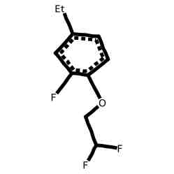 CCc1ccc(OCC(F)F)c(F)c1